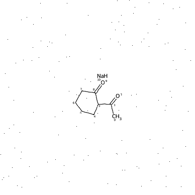 CC(=O)C1CCCCC1=O.[NaH]